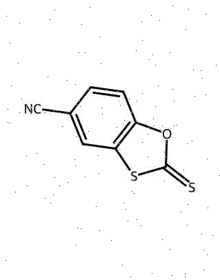 N#Cc1ccc2oc(=S)sc2c1